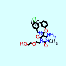 Cc1cccc(O[C@H]2N(Cc3ccc(Cl)cc3)C23C(=O)N(CCOCCO)C(=O)N(C)C3N)c1